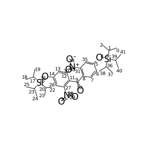 CC(C)[Si](Oc1ccc(C(=O)c2ccc(O[Si](C(C)C)(C(C)C)C(C)C)cc2[N+](=O)[O-])c([N+](=O)[O-])c1)(C(C)C)C(C)C